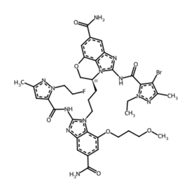 CCn1nc(C)c(Br)c1C(=O)Nc1nc2cc(C(N)=O)cc3c2n1[C@@H](CCCn1c(NC(=O)c2cc(C)nn2CCF)nc2cc(C(N)=O)cc(OCCCOC)c21)CO3